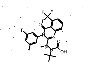 C[C@@H](c1nc2cccc(C(F)(F)F)c2c(=O)n1-c1cc(F)cc(F)c1)N(C(=O)O)C(C)(C)C